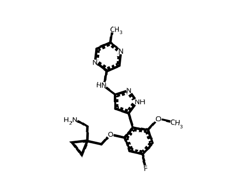 COc1cc(F)cc(OCC2(CN)CC2)c1-c1cc(Nc2cnc(C)cn2)n[nH]1